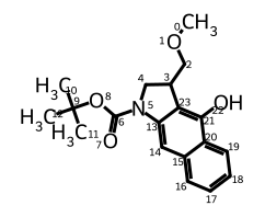 COCC1CN(C(=O)OC(C)(C)C)c2cc3ccccc3c(O)c21